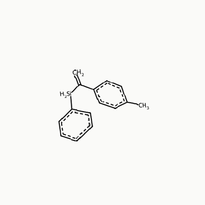 C=C([SiH2]c1ccccc1)c1ccc(C)cc1